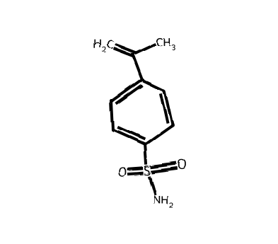 C=C(C)c1ccc(S(N)(=O)=O)cc1